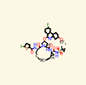 CC1(S(=O)(=O)NC(=O)[C@@]23C[C@H]2/C=C\CCCCC[C@H](NC(=O)c2ccc(F)s2)C(=O)N2C[C@H](Oc4nc5cc(OC(F)(F)F)ccc5c5cc(F)ccc45)C[C@H]2C(=O)N3)CC1